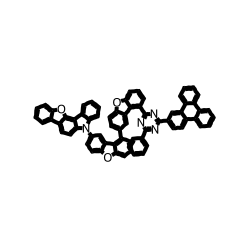 c1ccc(-c2nc(-c3ccc4c5ccccc5c5ccccc5c4c3)nc(-c3cccc4oc5ccc(-c6cccc7oc8ccc(-n9c%10ccccc%10c%10c%11oc%12ccccc%12c%11ccc%109)cc8c67)cc5c34)n2)cc1